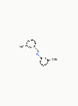 COc1cccc(N=Cc2cccc(C#N)c2)c1